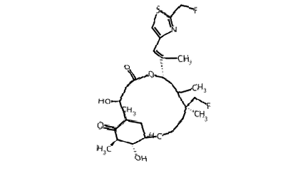 C/C(=C\c1csc(CF)n1)[C@@H]1CC(C)[C@@](C)(CF)CCC[C@@H]2C[C@@](C)(C(=O)[C@H](C)[C@H]2O)[C@@H](O)CC(=O)O1